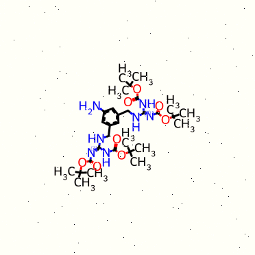 CC(C)(C)OC(=O)/N=C(/NCc1cc(N)cc(CN/C(=N/C(=O)OC(C)(C)C)NC(=O)OC(C)(C)C)c1)NC(=O)OC(C)(C)C